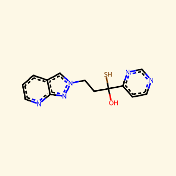 OC(S)(CCn1cc2cccnc2n1)c1ccncn1